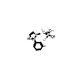 CN1C=CNN1c1ccccc1.O=S(=O)(O)F